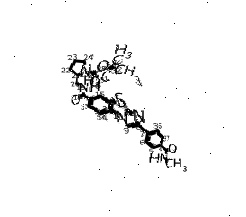 CNC(=O)c1ccc(-c2cn3c(n2)sc2cc(C(=O)NC[C@H]4CCCN4C(=O)OC(C)(C)C)ccc23)cc1